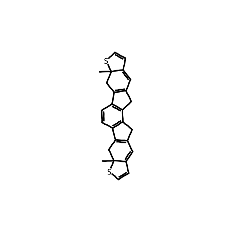 CC12CC3=C(C=C1C=CS2)Cc1c3ccc2c1CC1=C2CC2(C)SC=CC2=C1